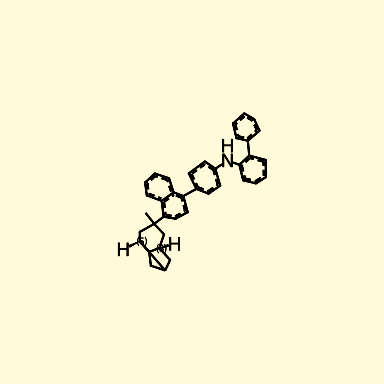 CC1(c2ccc(-c3ccc(Nc4ccccc4-c4ccccc4)cc3)c3ccccc23)C[C@@H]2CC3CC2[C@H]3C1